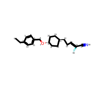 CCc1ccc(CO[C@H]2CC[C@H](CC/C=C(\F)C#N)CC2)cc1